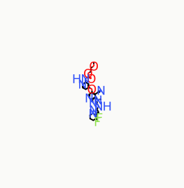 COCCOC(=O)Nc1cc(Oc2cnc3nc(Nc4cc5n(n4)CCCC5(F)F)n(C)c3c2C#N)ccn1